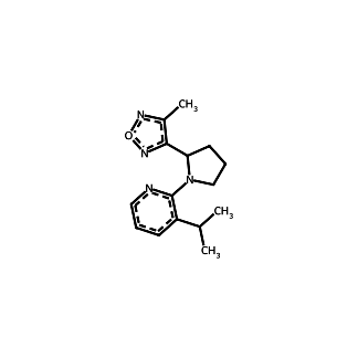 Cc1nonc1C1CCCN1c1ncccc1C(C)C